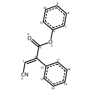 N#CC=C(C(=O)Oc1ccccc1)c1ccccc1